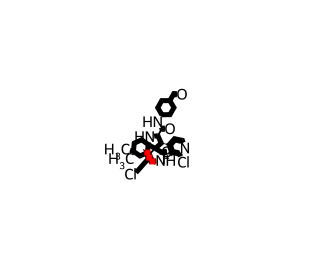 CC1(C)CCC2(CC1)N[C@@H](C(=O)NC1CCC(C=O)CC1)[C@H](c1ccnc(Cl)c1F)[C@]21C(=O)Nc2cc(Cl)ccc21